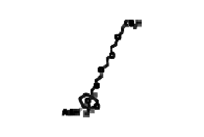 CC(=O)N[C@@H]1CC[C@]2(COCCOCCOCCOCCC(=O)O)CO[C@H]1O2